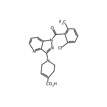 O=C(O)C1=CCN(c2nn(C(=O)c3c(Cl)cccc3C(F)(F)F)c3cccnc23)CC1